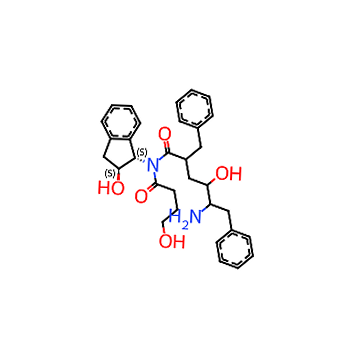 NC(Cc1ccccc1)C(O)CC(Cc1ccccc1)C(=O)N(C(=O)CCCO)[C@H]1c2ccccc2C[C@@H]1O